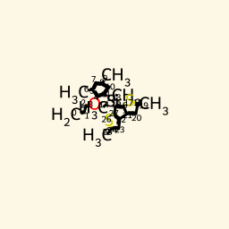 C=CCOc1c(C)cc(C)cc1[Si](C)(C)C1=C2SC(C)C=C2c2cc(C)sc21